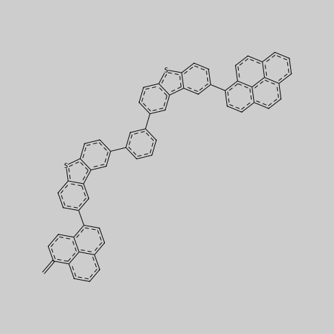 C=c1ccc2c(-c3ccc4sc5ccc(-c6cccc(-c7ccc8sc9ccc(-c%10ccc%11ccc%12cccc%13ccc%10c%11c%12%13)cc9c8c7)c6)cc5c4c3)ccc3cccc1c32